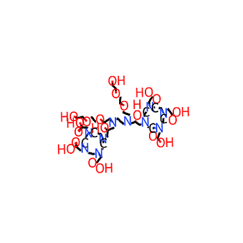 O=C(O)CN1CCN(CC(=O)O)CCN(CC(O)CN(CCOCCOCCO)CCN(CCOCCOCCO)CC(O)CN2CCN(CC(=O)O)CCN(CC(=O)O)CCN(CC(=O)O)CC2)CCN(CC(=O)O)CC1